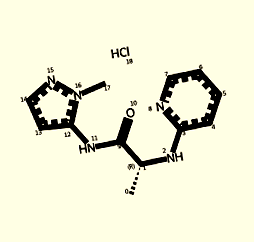 C[C@@H](Nc1ccccn1)C(=O)Nc1ccnn1C.Cl